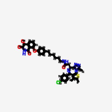 Cc1sc2c(c1C)C(c1ccc(Cl)cc1)=N[C@@H](CC(=O)NCCCCCCc1ccc(Oc3cccc4c3C(=O)NC(=O)C4=O)cc1)c1nnc(C)n1-2